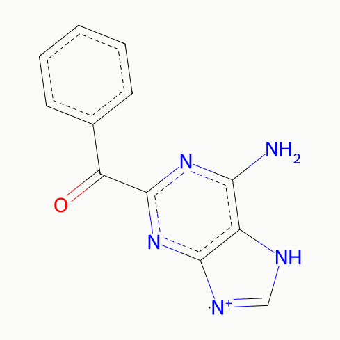 Nc1nc(C(=O)c2ccccc2)nc2c1NC=[N+]2